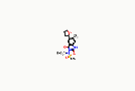 CCOC(=O)N(n1c(=O)[nH]c2cc(C(F)(F)F)c(C3CCCO3)cc2c1=O)S(C)(=O)=O